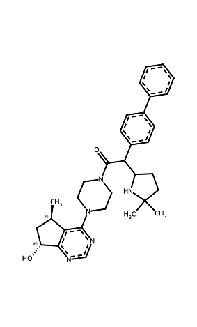 C[C@@H]1C[C@@H](O)c2ncnc(N3CCN(C(=O)C(c4ccc(-c5ccccc5)cc4)C4CCC(C)(C)N4)CC3)c21